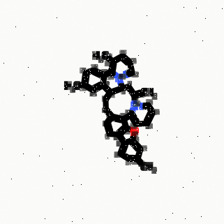 C=C1CC2C(CCc3ccc4c(oc5cc(C)ccc54)c3-c3cccc[n+]31)c1cc(C)ccc1-c1c(C)ccc[n+]12